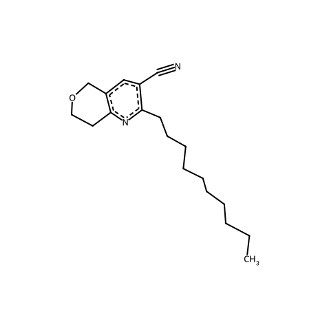 CCCCCCCCCCc1nc2c(cc1C#N)COCC2